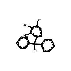 Oc1ccc(C(O)(c2ccccc2)c2ccccc2)c(O)c1O